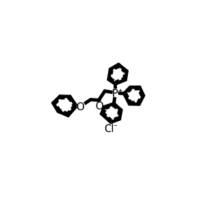 O=C(COc1ccccc1)C[P+](c1ccccc1)(c1ccccc1)c1ccccc1.[Cl-]